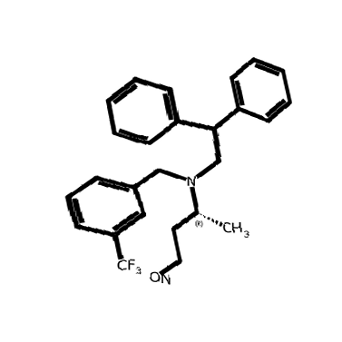 C[C@H](CCN=O)N(Cc1cccc(C(F)(F)F)c1)CC(c1ccccc1)c1ccccc1